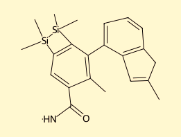 CC1=Cc2c(cccc2-c2c(C)c(C([NH])=O)cc3c2[Si](C)(C)[Si]3(C)C)C1